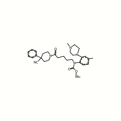 Cc1ccc(N(CCCCC(=O)N2CCC(C#N)(c3ccccc3)CC2)C(=O)OC(C)(C)C)c(N2CCN(C)CC2)c1